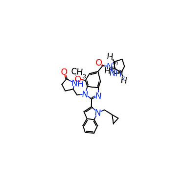 COc1cc(C(=O)N2C[C@H]3CC[C@@H]2[C@@H]3N)cc2nc(-c3cc4ccccc4n3CC3CC3)n(CC3CCC(=O)N3)c12